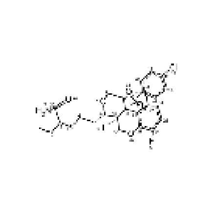 CCC(SCC[C@@H]1OCC[C@@]2(S(=O)(=O)c3ccc(Cl)cc3)c3c(F)ccc(F)c3OC[C@@H]12)C(N)=O